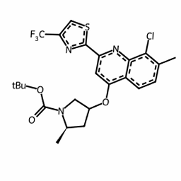 Cc1ccc2c(OC3C[C@@H](C)N(C(=O)OC(C)(C)C)C3)cc(-c3nc(C(F)(F)F)cs3)nc2c1Cl